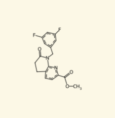 COC(=O)c1ccc2c(n1)N(Cc1cc(F)cc(F)c1)C(=O)CC2